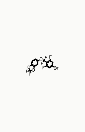 Fc1cc(Br)cc(F)c1C(F)(F)Oc1ccc2c(c1)OC(F)(F)O2